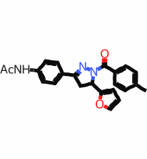 CC(=O)Nc1ccc(C2=NN(C(=O)c3ccc(C)cc3)C(c3ccco3)C2)cc1